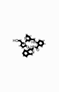 O=C(Nc1cc2ccccc2cn1)c1ccccc1NCc1ccnc(N2C(=O)CCC2CO)c1